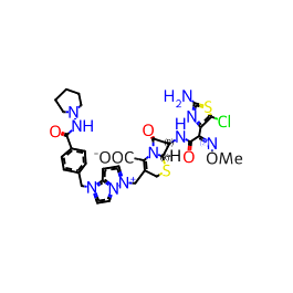 CO/N=C(\C(=O)N[C@@H]1C(=O)N2C(C(=O)[O-])=C(C[n+]3ccc4n(Cc5ccc(C(=O)NN6CCCCC6)cc5)ccn43)CS[C@H]12)c1nc(N)sc1Cl